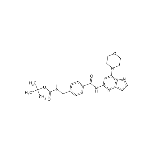 CC(C)(C)OC(=O)NCc1ccc(C(=O)Nc2cc(N3CCOCC3)n3nccc3n2)cc1